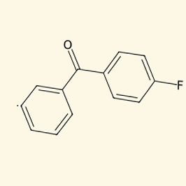 O=C(c1c[c]ccc1)c1ccc(F)cc1